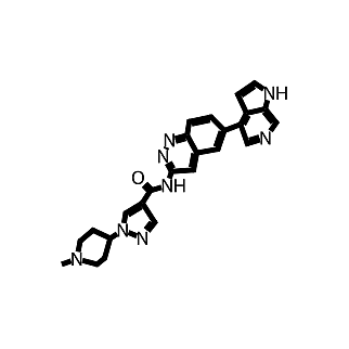 CN1CCC(n2cc(C(=O)Nc3cc4cc(-c5cncc6[nH]ccc56)ccc4nn3)cn2)CC1